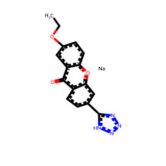 CCOc1ccc2oc3cc(-c4nnn[nH]4)ccc3c(=O)c2c1.[Na]